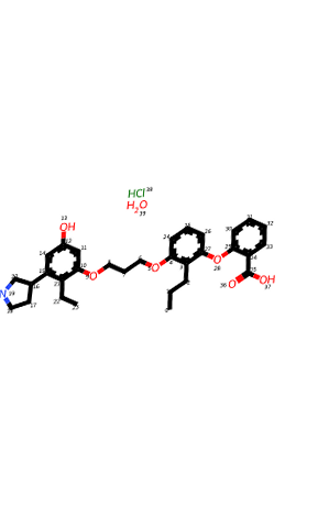 CCCc1c(OCCCOc2cc(O)cc(C3CCNC3)c2CC)cccc1Oc1ccccc1C(=O)O.Cl.O